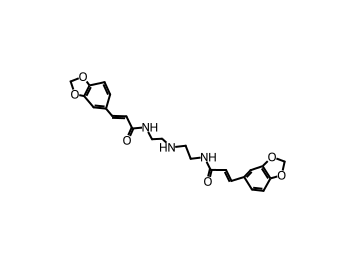 O=C(C=Cc1ccc2c(c1)OCO2)NCCNCCNC(=O)C=Cc1ccc2c(c1)OCO2